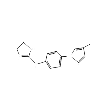 FC(F)(F)C1=C[SH](c2ccc(NC3=NCCN3)cc2)C=C1